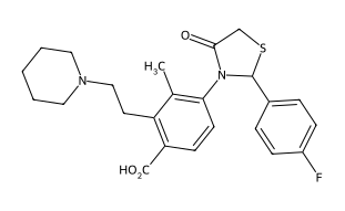 Cc1c(N2C(=O)CSC2c2ccc(F)cc2)ccc(C(=O)O)c1CCN1CCCCC1